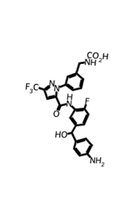 Nc1ccc(C(O)c2ccc(F)c(NC(=O)c3cc(C(F)(F)F)nn3-c3cccc(CNC(=O)O)c3)c2)cc1